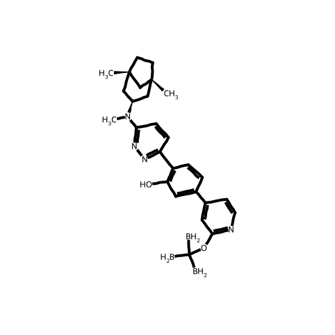 BC(B)(B)Oc1cc(-c2ccc(-c3ccc(N(C)[C@H]4C[C@]5(C)CC[C@](C)(C4)C5)nn3)c(O)c2)ccn1